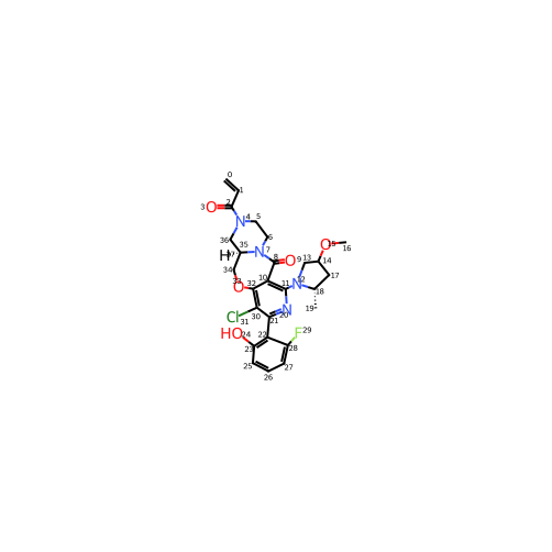 C=CC(=O)N1CCN2C(=O)c3c(N4CC(OC)C[C@@H]4C)nc(-c4c(O)cccc4F)c(Cl)c3OC[C@H]2C1